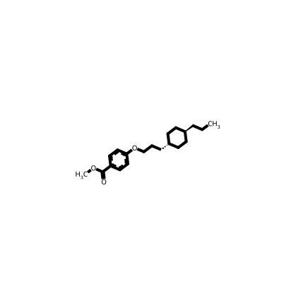 CCC[C@H]1CC[C@H](CCCOc2ccc(C(=O)OC)cc2)CC1